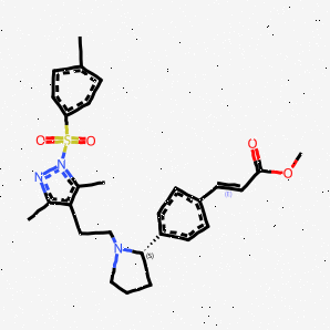 COC(=O)/C=C/c1ccc([C@@H]2CCCN2CCc2c(C)nn(S(=O)(=O)c3ccc(C)cc3)c2C)cc1